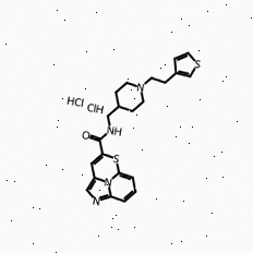 Cl.Cl.O=C(NCC1CCN(CCc2ccsc2)CC1)C1=Cc2cnc3cccc(n23)S1